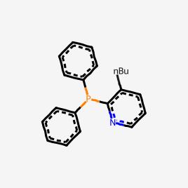 CCCCc1cccnc1P(c1ccccc1)c1ccccc1